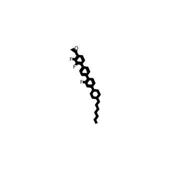 CCCCCCCC1CCC(c2ccc(-c3ccc(-c4ccc(C5CO5)c(F)c4F)cc3)c(F)c2)CC1